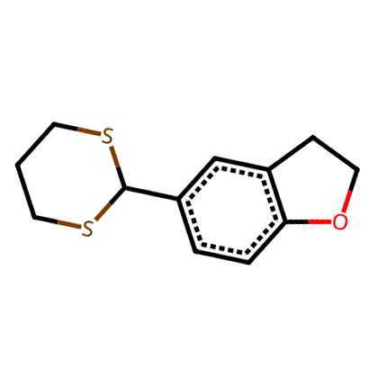 c1cc2c(cc1C1SCCCS1)CCO2